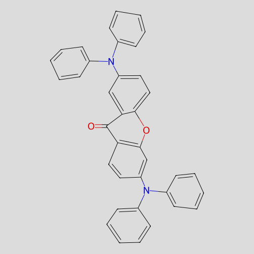 O=c1c2ccc(N(c3ccccc3)c3ccccc3)cc2oc2ccc(N(c3ccccc3)c3ccccc3)cc12